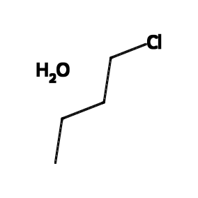 CCCCCl.O